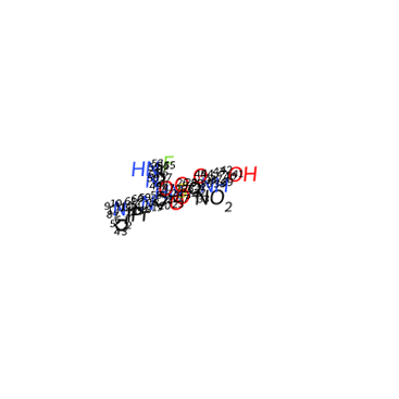 CC(C)c1ccccc1[C@@H]1CCCN1C1CC2(CCN(c3ccc(C(=O)NS(=O)(=O)c4cc5c(c([N+](=O)[O-])c4)N[C@H]([C@H]4CC[C@H](O)CC4)CO5)c(Oc4cnc5[nH]cc(F)c5c4)c3)CC2)C1